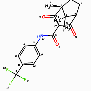 CC1(C)C2CC[C@@]1(C)C(=O)C(C(=O)Nc1ccc(C(F)(F)F)cc1)C2=O